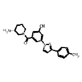 Cc1ccc(-c2ccn(-c3cc(C#N)cc(C(=O)N4CCC[C@@H](N)C4)c3)n2)cc1